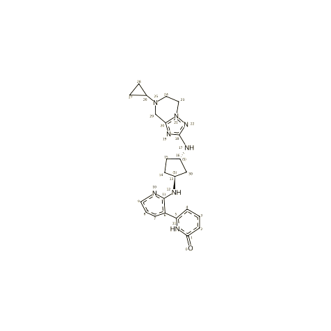 O=c1cccc(-c2cccnc2N[C@H]2CC[C@H](Nc3nc4n(n3)CCN(C3CC3)C4)C2)[nH]1